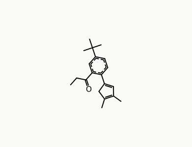 CCC(=O)c1cc(C(C)(C)C)ccc1C1=CC(C)=C(C)C1